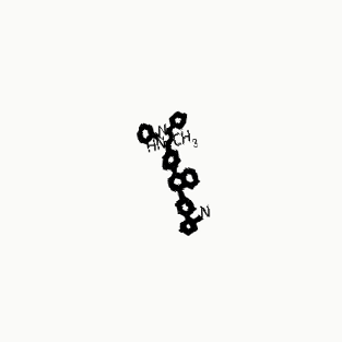 CC1C(c2ccc(C3CC=C(C4=CCC(c5ccccc5C#N)C=C4)C4CCCCC43)cc2)NC(C2=CCCCC2)=NC1C1C=CC=CC1